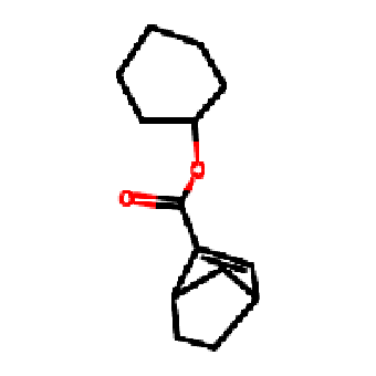 O=C(OC1CCCCC1)C1=CC2CCC1C2